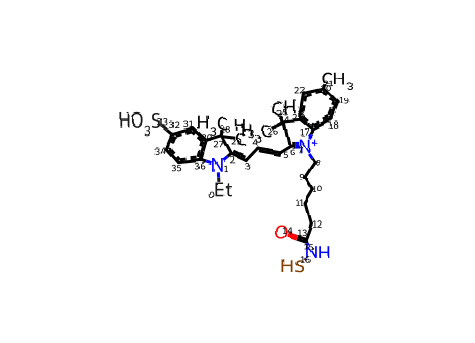 CCN1/C(=C/C=C/C2=[N+](CCCCCC(=O)NS)c3ccc(C)cc3C2(C)C)C(C)(C)c2cc(S(=O)(=O)O)ccc21